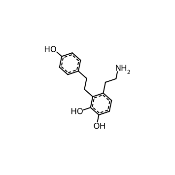 NCCc1ccc(O)c(O)c1CCc1ccc(O)cc1